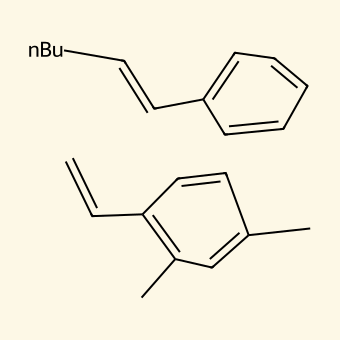 C=Cc1ccc(C)cc1C.CCCCC=Cc1ccccc1